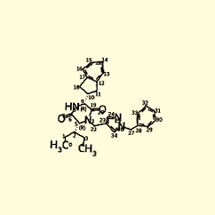 CCC(CC)[C@@H]1C(=O)N[C@H](C2Cc3ccccc3C2)C(=O)N1Cc1cnn(Cc2ccccc2)c1